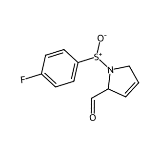 O=CC1C=CCN1[S+]([O-])c1ccc(F)cc1